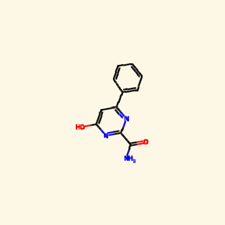 NC(=O)c1nc(O)cc(-c2ccccc2)n1